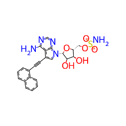 Nc1ncnc2c1c(C#Cc1cccc3ccccc13)cn2[C@@H]1O[C@H](COS(N)(=O)=O)[C@@H](O)[C@H]1O